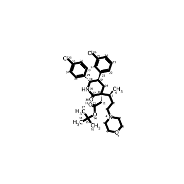 C[C@@H](CCN1CCOCC1)[C@]1(CC(=O)OC(C)(C)C)C[C@H](c2cccc(Cl)c2)[C@@H](c2ccc(Cl)cc2)NC1=O